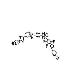 COc1ccc(COc2c(F)cc(C(=O)NCC34CCC(c5cn6ccc(-c7cnc(N8CCNCC8)nc7)cc6n5)(CC3)CC4)c(F)c2F)cc1